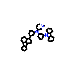 C=N/C=C(\C=C/C)N(c1cccc(-c2ccc3c4c(cccc24)-c2ccccc2-3)c1)c1cccc(-n2c3ccccc3c3ccccc32)c1